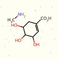 CN.O=C(O)C1=CC(O)C(O)C(O)C1